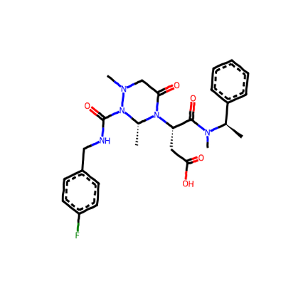 C[C@H](c1ccccc1)N(C)C(=O)[C@H](CC(=O)O)N1C(=O)CN(C)N(C(=O)NCc2ccc(F)cc2)[C@H]1C